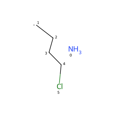 N.[CH2]CCCCl